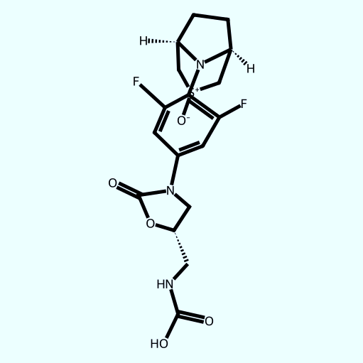 O=C(O)NC[C@H]1CN(c2cc(F)c(N3[C@@H]4CC[C@H]3C[S+]([O-])C4)c(F)c2)C(=O)O1